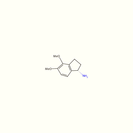 COc1ccc2c(c1OC)CC[C@@H]2N